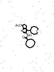 CC(=O)OC1CCc2c1ncc(NC(=O)C1CCCCCCCCC1)c2C1CCCCCCCC1